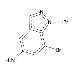 CC(C)n1ncc2cc(N)cc(Br)c21